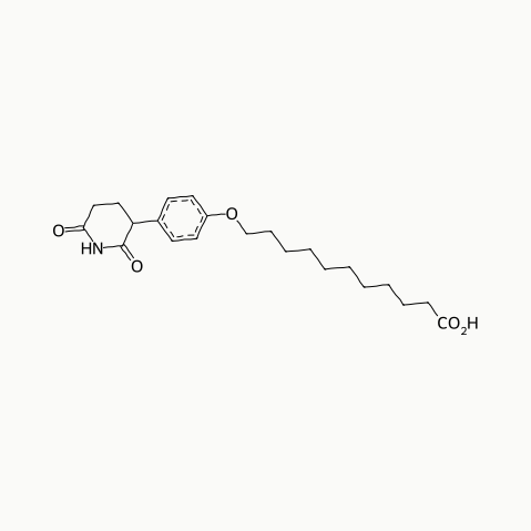 O=C(O)CCCCCCCCCCOc1ccc(C2CCC(=O)NC2=O)cc1